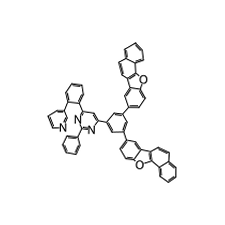 c1ccc(-c2nc(-c3cc(-c4ccc5oc6c7ccccc7ccc6c5c4)cc(-c4ccc5oc6c7ccccc7ccc6c5c4)c3)cc(-c3ccccc3-c3cccnc3)n2)cc1